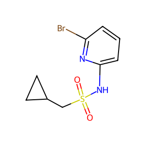 O=S(=O)(CC1CC1)Nc1cccc(Br)n1